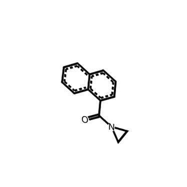 O=C(c1cccc2ccccc12)N1CC1